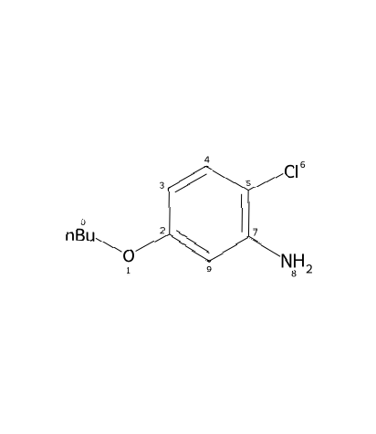 CCCCOc1ccc(Cl)c(N)c1